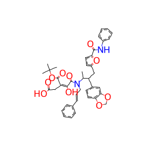 CC(C(Cc1ccc(C(=O)Nc2ccccc2)o1)c1ccc2c(c1)OCO2)N(CC=Cc1ccccc1)C(=O)C(O)=C(CC(=O)O)C(=O)OC(C)(C)C